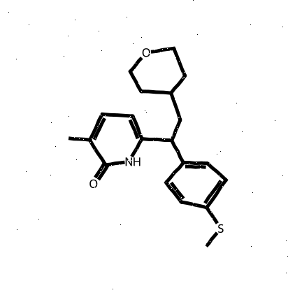 CSc1ccc(C(CC2CCOCC2)c2ccc(C)c(=O)[nH]2)cc1